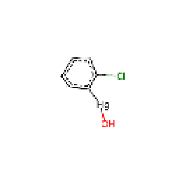 [OH][Hg][c]1[c]cccc1Cl